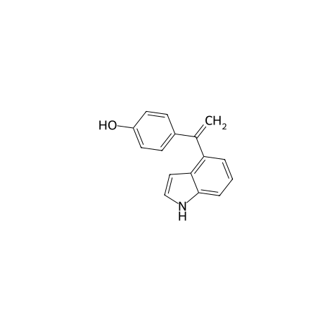 C=C(c1ccc(O)cc1)c1cccc2[nH]ccc12